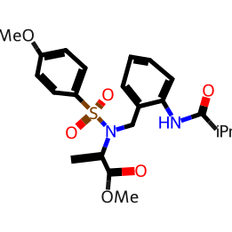 C=C(C(=O)OC)N(Cc1ccccc1NC(=O)C(C)C)S(=O)(=O)c1ccc(OC)cc1